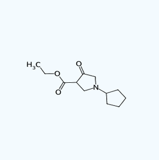 CCOC(=O)C1CN(C2CCCC2)CC1=O